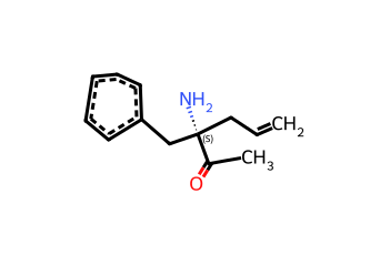 C=CC[C@](N)(Cc1ccccc1)C(C)=O